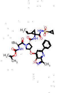 C=CC1CC1(NC(=O)[C@@H]1C[C@@H](Oc2cc(-c3ccccc3)nc3c(C)noc23)CN1C(=O)[C@@H](NC(=O)OC(=C)C)C(C)(C)C)C(=O)NS(=O)(=O)C1CC1